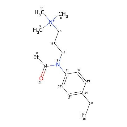 CCC(=O)N(CCC[N+](C)(C)C)c1ccc(CC(C)C)cc1